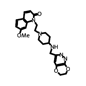 COc1ccc2ccc(=O)n(CCN3CCC(NCc4cc5c(nn4)OCCO5)CC3)c2c1